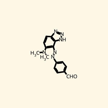 CN(C)c1ccc2nn[nH]c2c1/N=N/c1ccc(C=O)cc1